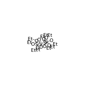 CCO[Si](OCC)(OCC)[Si](OCC)(OCC)[Si](OCC)(OCC)[Si](OCC)(OCC)OCC